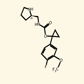 O=C(NC[C@H]1CCCN1)OC1(c2ccc(F)c(OC(F)(F)F)c2)CC1